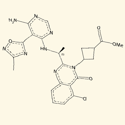 COC(=O)C1CC(n2c([C@H](C)Nc3ncnc(N)c3-c3nc(C)no3)nc3cccc(Cl)c3c2=O)C1